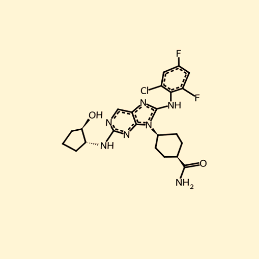 NC(=O)[C@H]1CC[C@@H](n2c(Nc3c(F)cc(F)cc3Cl)nc3cnc(N[C@@H]4CCC[C@H]4O)nc32)CC1